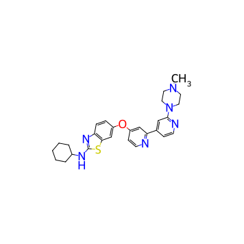 CN1CCN(c2cc(-c3cc(Oc4ccc5nc(NC6CCCCC6)sc5c4)ccn3)ccn2)CC1